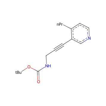 CCCc1ccncc1C#CCNC(=O)OC(C)(C)C